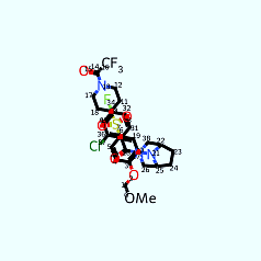 COCOc1ccc(S(=O)(=O)C2CCN(C(=O)C(F)(F)F)CC2)cc1N1C2CCC1CN(C(=O)c1ccc(F)cc1Cl)C2